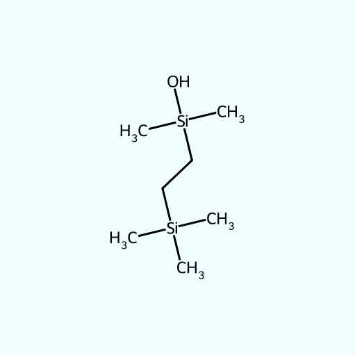 C[Si](C)(C)CC[Si](C)(C)O